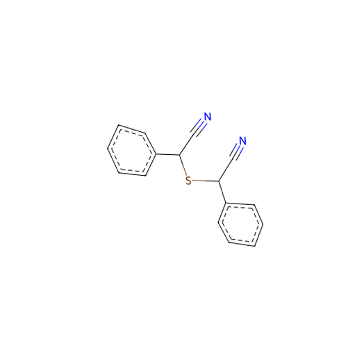 N#CC(SC(C#N)c1ccccc1)c1ccccc1